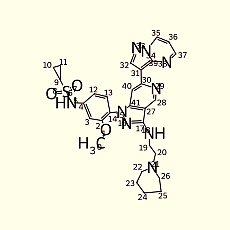 COc1cc(NS(=O)(=O)C2CC2)ccc1-n1nc(NCCN2CCCCC2)c2cnc(-c3cnn4cccnc34)cc21